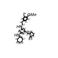 CCN1CCCC1CNc1nc(NCCc2ccc(OC)c(I)c2)nc(NC2CCCCCC2)n1